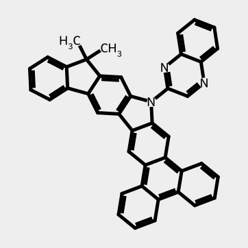 CC1(C)c2ccccc2-c2cc3c4cc5c6ccccc6c6ccccc6c5cc4n(-c4cnc5ccccc5n4)c3cc21